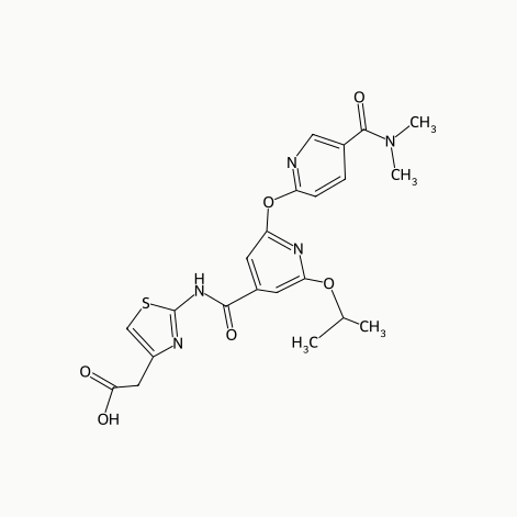 CC(C)Oc1cc(C(=O)Nc2nc(CC(=O)O)cs2)cc(Oc2ccc(C(=O)N(C)C)cn2)n1